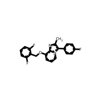 Cc1nc2c(OCc3c(F)cccc3F)cccn2c1-c1ccc(F)cc1